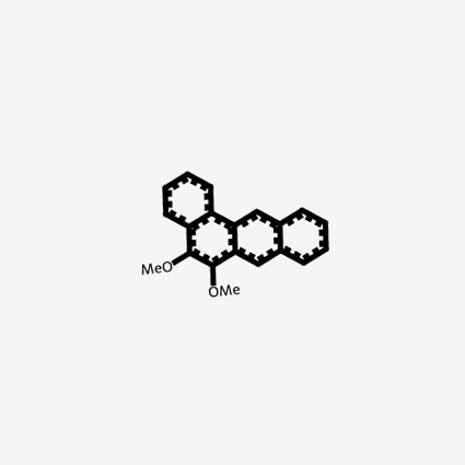 COc1c(OC)c2cc3ccccc3cc2c2ccccc12